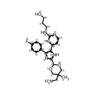 CC1(CN)COC(c2nc(-c3ccc(F)cc3)c(-c3ccnc(NCCCO)n3)[nH]2)OC1